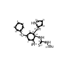 CC(C)c1cc(Oc2ccccc2)cc(C(C)C)c1NC(=S)NC(C)(C)C.c1cc[nH]c1